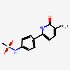 CS(=O)(=O)Nc1ccc(-c2ccc(C(=O)O)c(=O)[nH]2)cc1